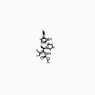 C#Cc1cnc([C@@H]2CCCN2C(=C)[C@@H](NC(=O)OC)C(C)C)[nH]1